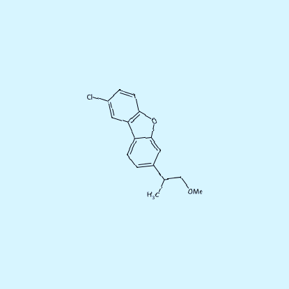 COCC(C)c1ccc2c(c1)oc1ccc(Cl)cc12